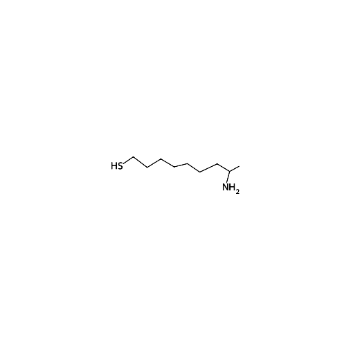 CC(N)CCCCCCCS